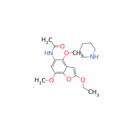 C1CCNCC1.CCOc1cc2c(OC)c(NC(C)=O)cc(OC)c2o1